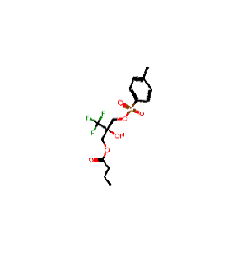 CCCC(=O)OC[C@@](O)(COS(=O)(=O)c1ccc(C)cc1)C(F)(F)F